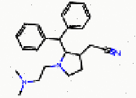 CN(C)CCN1CCC(CC#N)C1C(c1ccccc1)c1ccccc1